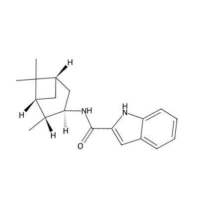 C[C@@H]1[C@H]2C[C@@H](C[C@H]1NC(=O)c1cc3ccccc3[nH]1)C2(C)C